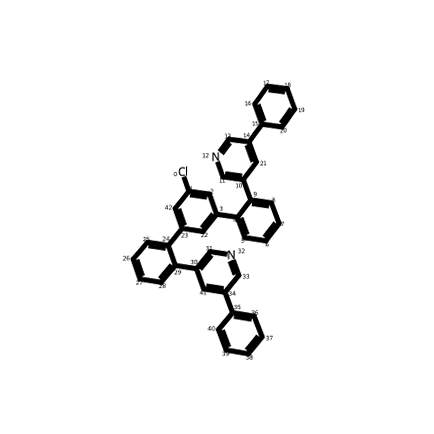 Clc1cc(-c2ccccc2-c2cncc(-c3ccccc3)c2)cc(-c2ccccc2-c2cncc(-c3ccccc3)c2)c1